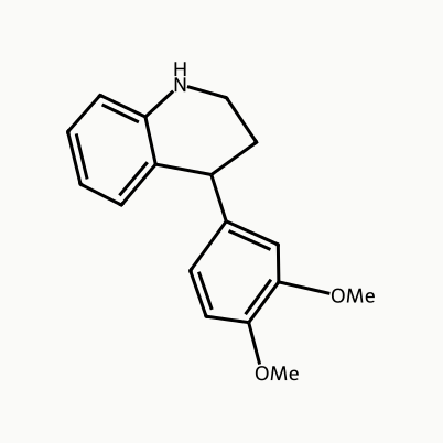 COc1ccc(C2CCNc3ccccc32)cc1OC